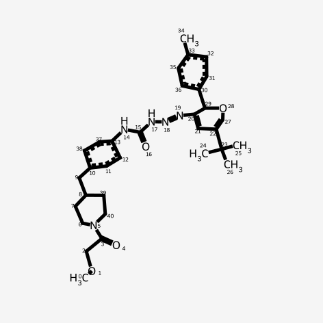 COCC(=O)N1CCC(Cc2ccc(NC(=O)NN=NC3=CC(C(C)(C)C)=COC3c3ccc(C)cc3)cc2)CC1